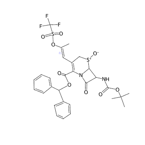 C/C(=C\C1=C(C(=O)OC(c2ccccc2)c2ccccc2)N2C(=O)C(NC(=O)OC(C)(C)C)C2[S+]([O-])C1)OS(=O)(=O)C(F)(F)F